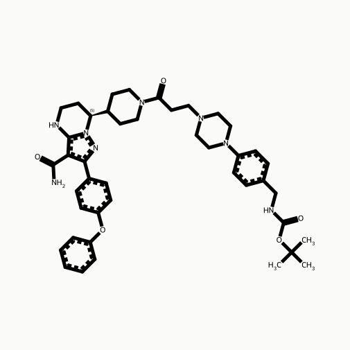 CC(C)(C)OC(=O)NCc1ccc(N2CCN(CCC(=O)N3CCC([C@@H]4CCNc5c(C(N)=O)c(-c6ccc(Oc7ccccc7)cc6)nn54)CC3)CC2)cc1